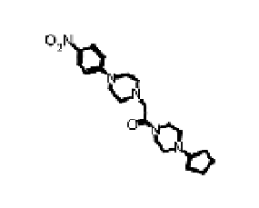 O=C(CN1CCN(c2ccc([N+](=O)[O-])cc2)CC1)N1CCN(C2CCCC2)CC1